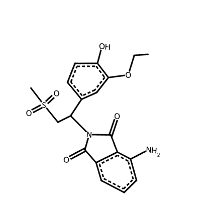 CCOc1cc(C(CS(C)(=O)=O)N2C(=O)c3cccc(N)c3C2=O)ccc1O